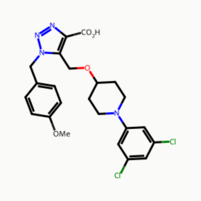 COc1ccc(Cn2nnc(C(=O)O)c2COC2CCN(c3cc(Cl)cc(Cl)c3)CC2)cc1